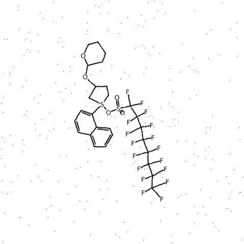 O=S(=O)(OS1(c2cccc3ccccc23)CCC(OC2CCCCO2)C1)C(F)(F)C(F)(F)C(F)(F)C(F)(F)C(F)(F)C(F)(F)C(F)(F)C(F)(F)F